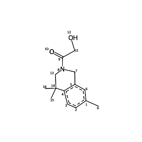 Cc1ccc2c(c1)CN(C(=O)CO)CC2(C)C